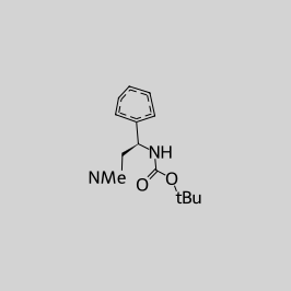 CNC[C@H](NC(=O)OC(C)(C)C)c1ccccc1